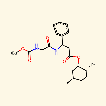 CC(C)[C@@H]1CC[C@@H](C)C[C@H]1OC(=O)C[C@@H](NC(=O)CNC(=O)OC(C)(C)C)c1ccccc1